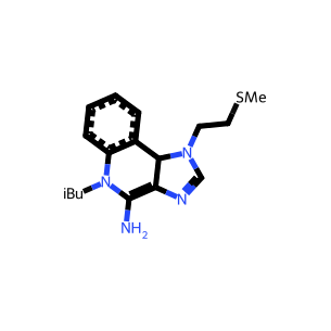 CCC(C)N1C(N)=C2N=CN(CCSC)C2c2ccccc21